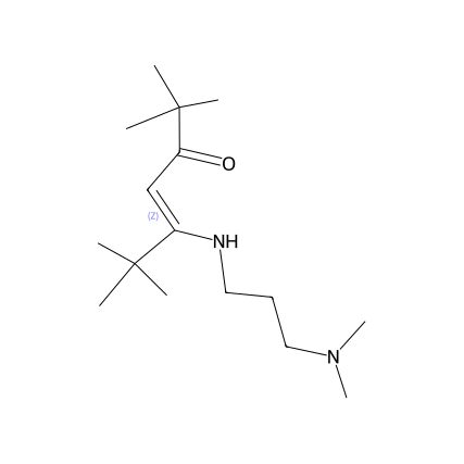 CN(C)CCCN/C(=C\C(=O)C(C)(C)C)C(C)(C)C